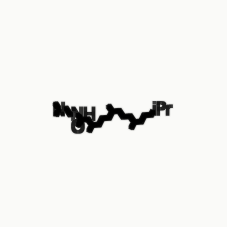 CC(C)CCCC(C)CCCC(C)CCCC(C)CC(=O)NCCN(C)C